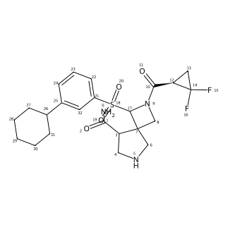 NC(=O)C1CNCC12CN(C(=O)[C@H]1CC1(F)F)C2S(=O)(=O)c1cccc(C2CCCCC2)c1